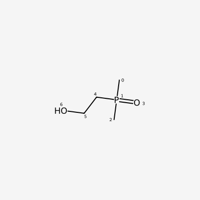 CP(C)(=O)CCO